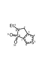 CCN1Cc2cscc2S1(=O)=O